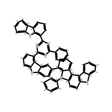 c1ccc(-c2nc(-c3cccc4c3oc3ccccc34)nc(-c3cccc4oc5ccc(-c6cccc7c8c9c(ccc8n(-c8ccccc8)c67)sc6ccccc69)cc5c34)n2)cc1